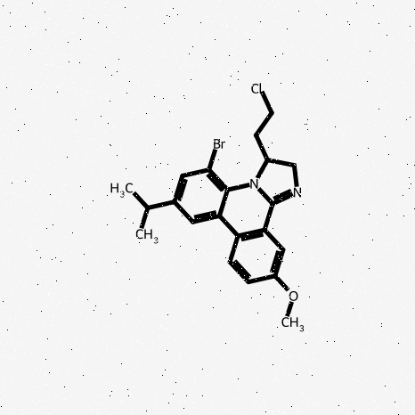 COc1ccc2c(c1)C1=NCC(CCCl)N1c1c(Br)cc(C(C)C)cc1-2